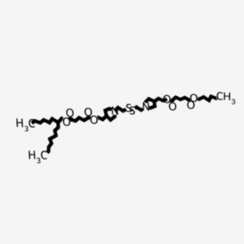 CCCCCCCCC(CCCCCC)COC(=O)CCCC(=O)OCCC1CCN(CCSSCCN2CCC(CCOC(=O)CCCC(=O)OCCCCCC)CC2)CC1